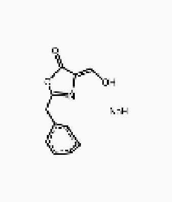 O=C1OC(Cc2ccccc2)=NC1=CO.[NaH]